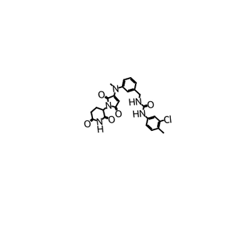 Cc1ccc(NC(=O)NCc2cccc(N(C)C3=CC(=O)N(C4CCC(=O)NC4=O)C3=O)c2)cc1Cl